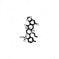 CCCN1C(c2cc(C)ccc2S(=O)(=O)O)CC[C@@H]2C(=O)c3c(c(Cl)cc4c3OCO4)C[C@H]21